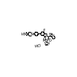 Cl.O=C(Nc1nccs1)C(c1ncn2c1CCC2)N1Cc2c(F)cc(-c3ccc(N4CCC5(CC4)CNC5)cc3)cc2C1=O